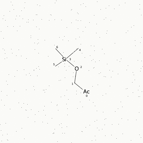 CC(=O)CO[Si](C)(C)C